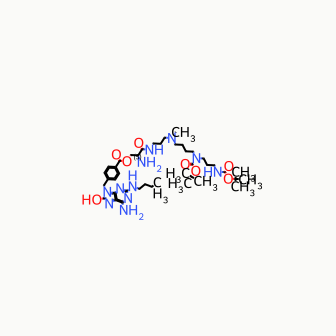 CCCCNc1nc(N)c2nc(O)n(Cc3ccc(C(=O)OC[C@H](N)C(=O)NCCCN(C)CCCCN(CCCNC(=O)OC(C)(C)C)C(=O)OC(C)(C)C)cc3)c2n1